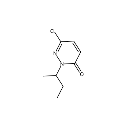 CCC(C)n1nc(Cl)ccc1=O